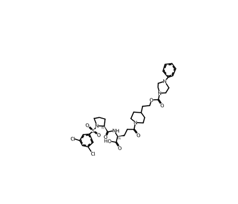 O=C(O)[C@H](CCC(=O)N1CCC(CCOC(=O)N2CCN(c3ccccc3)CC2)CC1)NC(=O)[C@@H]1CCCN1S(=O)(=O)c1cc(Cl)cc(Cl)c1